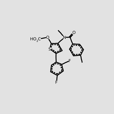 Cc1ccc(C(=O)N(C)c2cc(-c3ccc(F)cc3F)sc2OC(=O)O)cc1